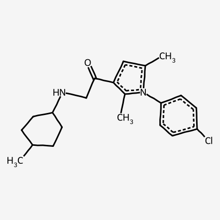 Cc1cc(C(=O)CNC2CCC(C)CC2)c(C)n1-c1ccc(Cl)cc1